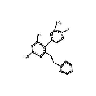 Nc1nc(N)c(-c2ccc(F)c([N+](=O)[O-])c2)c(CCc2ccccc2)n1